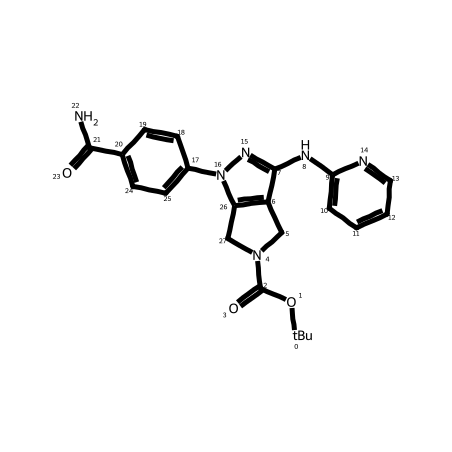 CC(C)(C)OC(=O)N1Cc2c(Nc3ccccn3)nn(-c3ccc(C(N)=O)cc3)c2C1